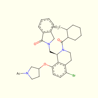 CC(=O)N1CCC(Oc2ccc(Br)c3c2[C@@H](CN2Cc4ccccc4C2=O)N(C(=O)C2CCCCC2C(=O)O)CC3)C1